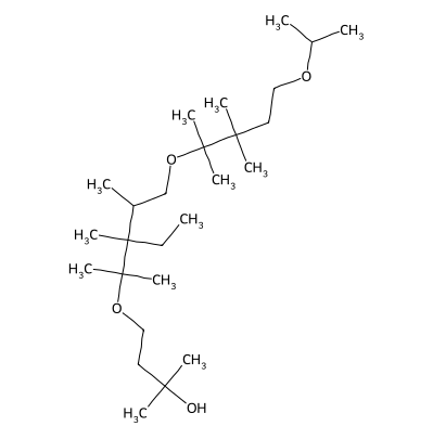 CCC(C)(C(C)COC(C)(C)C(C)(C)CCOC(C)C)C(C)(C)OCCC(C)(C)O